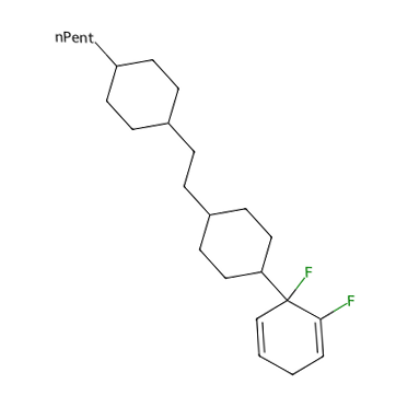 CCCCCC1CCC(CCC2CCC(C3(F)C=CCC=C3F)CC2)CC1